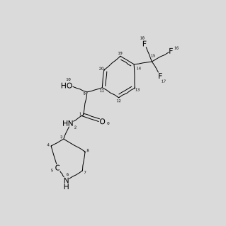 O=C(NC1CCNCC1)C(O)c1ccc(C(F)(F)F)cc1